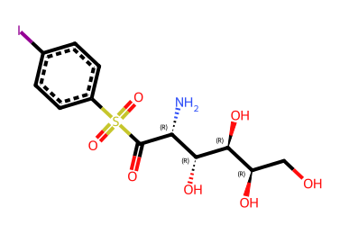 N[C@@H](C(=O)S(=O)(=O)c1ccc(I)cc1)[C@@H](O)[C@@H](O)[C@H](O)CO